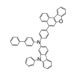 c1ccc(-c2ccc(N(c3ccc(-c4cc5oc6ccccc6c5c5ccccc45)cc3)c3ccc4c5ccccc5n(-c5ccccc5)c4c3)cc2)cc1